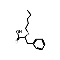 CCCCCSC(Cc1ccccc1)C(=O)O